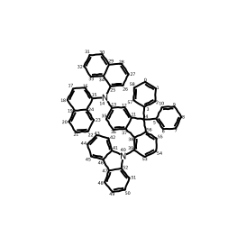 c1ccc(C2(c3ccccc3)c3cc(N(c4cccc5ccccc45)c4cccc5ccccc45)ccc3-c3c(-n4c5ccccc5c5ccccc54)cccc32)cc1